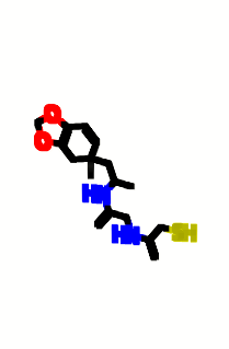 C=C(CS)NCC(=C)NC(C)CC1(C)C=CC2=C(C1)OCO2